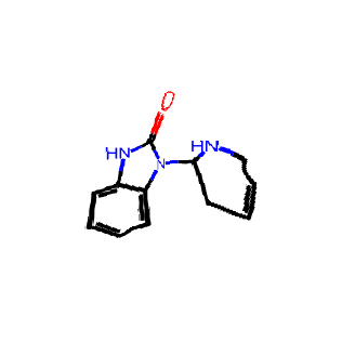 O=c1[nH]c2ccccc2n1C1CC=CCN1